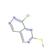 CSc1ncc2cnnc(Cl)c2n1